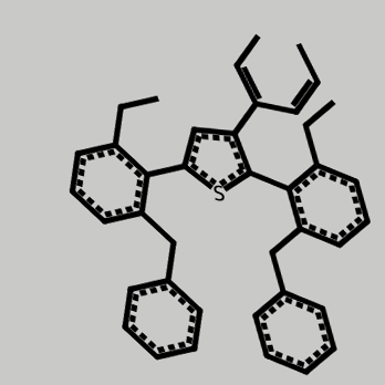 C/C=C\C(=C/C)c1cc(-c2c(CC)cccc2Cc2ccccc2)sc1-c1c(CC)cccc1Cc1ccccc1